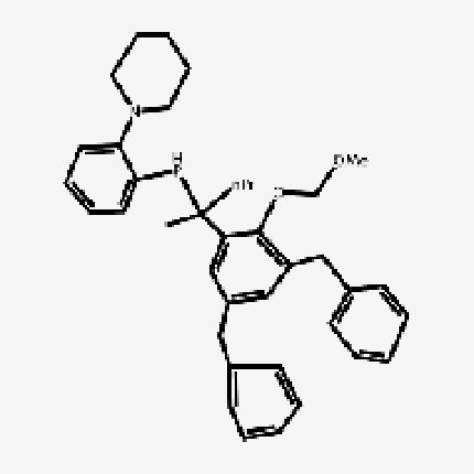 CCCC(C)(Pc1ccccc1N1CCCCC1)c1cc(Cc2ccccc2)cc(Cc2ccccc2)c1OCOC